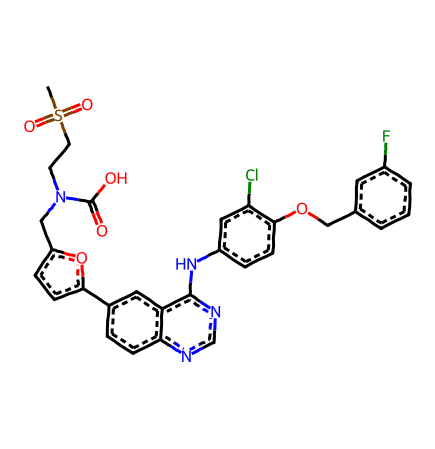 CS(=O)(=O)CCN(Cc1ccc(-c2ccc3ncnc(Nc4ccc(OCc5cccc(F)c5)c(Cl)c4)c3c2)o1)C(=O)O